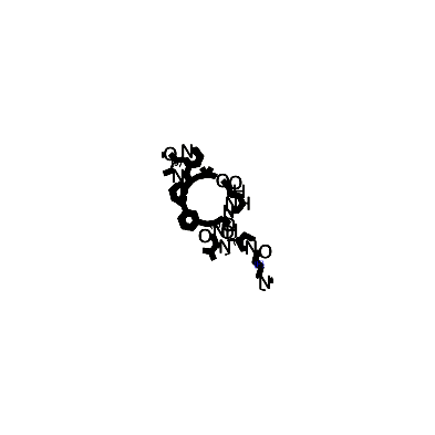 CCn1c(-c2cccnc2[C@H](C)OC)c2c3cc(ccc31)-c1cccc(c1)C[C@H](NC(=O)C(C(C)C)N(C)C(=O)[C@H]1CCN(C(=O)/C=C/CN(C)C)C1)C(=O)N1CCC[C@H](N1)C(=O)OCC(C)(C)C2